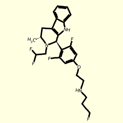 C[C@@H]1Cc2c([nH]c3ccccc23)[C@@H](c2c(F)cc(OCCNCCCF)cc2F)N1CC(F)F